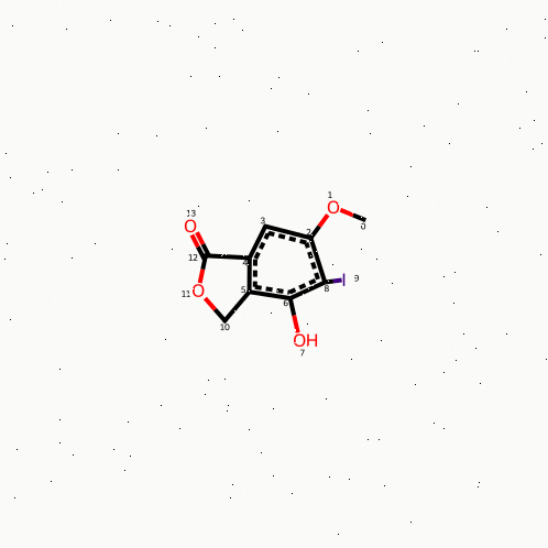 COc1cc2c(c(O)c1I)COC2=O